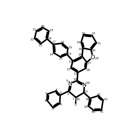 C[C@H]1C(c2ccccc2)=NC(c2cc(-c3ccc(-c4ccccc4)cc3)c3c(c2)oc2ccccc23)=NC1c1ccccc1